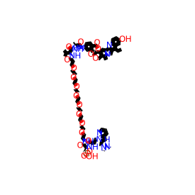 C=C1C2=C(C=C3c4nc5ccc(O)cc5c(CC)c4CN13)[C@](CC)(OC(=O)c1ccc(NC(=O)[C@H](C)NC(=O)[C@@H](NC(=O)CCOCCOCCOCCOCCOCCOCCOCCOCCNC(=O)[C@H](CS(=O)(=O)O)NC(=O)CCn3c(CN(C)NC)cc4cccnc43)C(C)C)cc1)C(=O)OC2